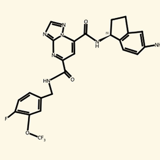 Nc1ccc2c(c1)CC[C@@H]2NC(=O)c1cc(C(=O)NCc2ccc(F)c(OC(F)(F)F)c2)nc2ncnn12